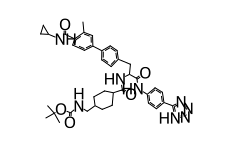 Cc1cc(-c2ccc(CC(NC(=O)C3CCC(CNC(=O)OC(C)(C)C)CC3)C(=O)Nc3ccc(-c4nnn[nH]4)cc3)cc2)ccc1C(=O)NC1CC1